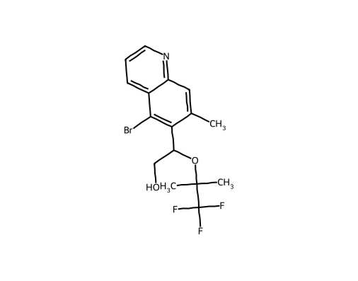 Cc1cc2ncccc2c(Br)c1C(CO)OC(C)(C)C(F)(F)F